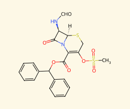 CS(=O)(=O)OC1=C(C(=O)OC(c2ccccc2)c2ccccc2)N2C(=O)[C@@H](NC=O)[C@H]2SC1